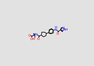 CC(C)(NC(=O)C1CCC(c2ccc(NC(=O)c3cn[nH]c3)cc2)CC1)C(=O)O